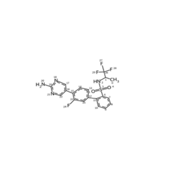 CC(NS(=O)(=O)c1ccccc1-c1ccc(-c2cnc(N)nc2)c(F)c1)C(F)(F)F